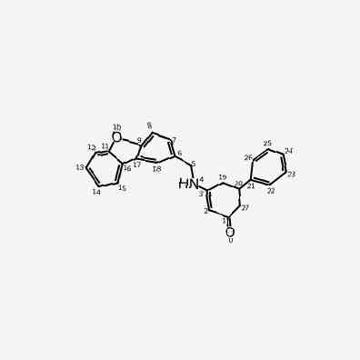 O=C1C=C(NCc2ccc3oc4ccccc4c3c2)CC(c2ccccc2)C1